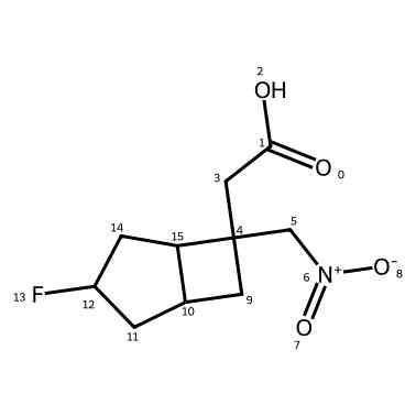 O=C(O)CC1(C[N+](=O)[O-])CC2CC(F)CC21